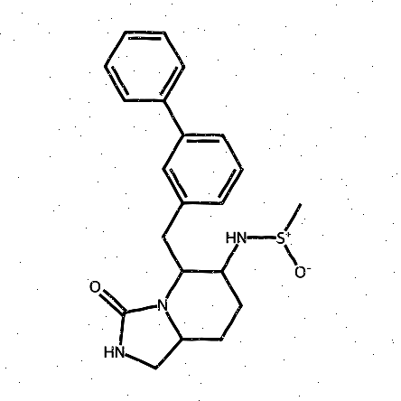 C[S+]([O-])NC1CCC2CNC(=O)N2C1Cc1cccc(-c2ccccc2)c1